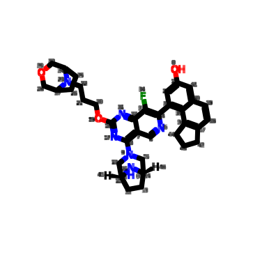 Oc1cc(-c2ncc3c(N4C[C@H]5CC[C@@H](C4)N5)nc(OCCCN4C5CCC4COC5)nc3c2F)c2c3c(ccc2c1)CCC3